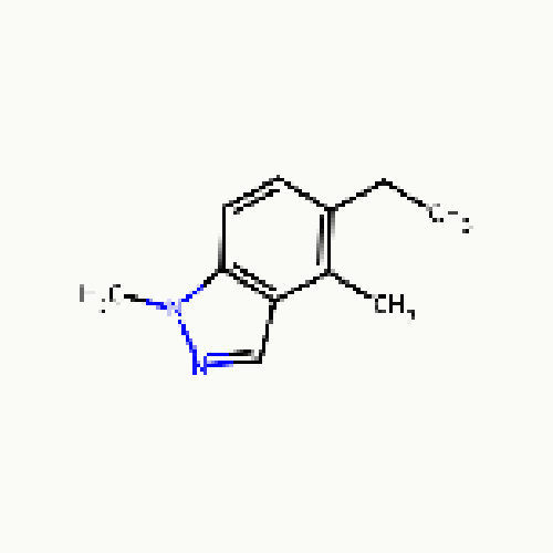 CCc1ccc2c(cnn2C)c1C